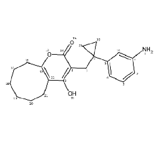 Nc1cccc(C2(Cc3c(O)c4c(oc3=O)CCCCCC4)CC2)c1